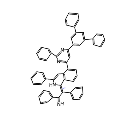 N=C(/C(=C1\NC(c2ccccc2)=Cc2c1cccc2-c1cc(-c2cc(-c3ccccc3)cc(-c3ccccc3)c2)nc(-c2ccccc2)n1)c1ccccc1)c1ccccc1